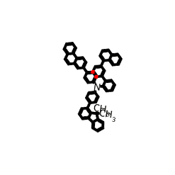 CC1(C)c2ccccc2-c2cccc(-c3ccc(N(c4ccc(-c5ccc6c(ccc7ccccc76)c5)cc4)c4ccccc4-c4cccc(-c5cccc6ccccc56)c4)cc3)c21